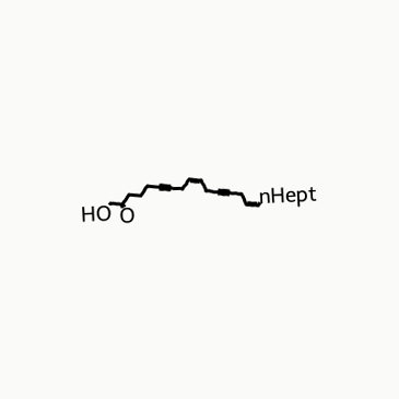 CCCCCCC/C=C\CC#CC/C=C\CC#CCCCC(=O)CO